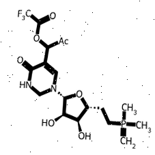 C=P(C)(C)CC[C@H]1O[C@@H](N2C=C(C(OC(=O)C(F)(F)F)C(C)=O)C(=O)NC2)[C@H](O)[C@@H]1O